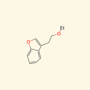 [CH2]COCCc1coc2ccccc12